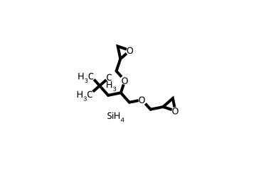 CC(C)(C)CC(COCC1CO1)OCC1CO1.[SiH4]